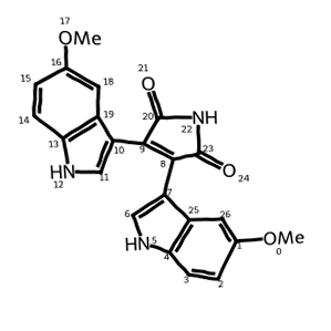 COc1ccc2[nH]cc(C3=C(c4c[nH]c5ccc(OC)cc45)C(=O)NC3=O)c2c1